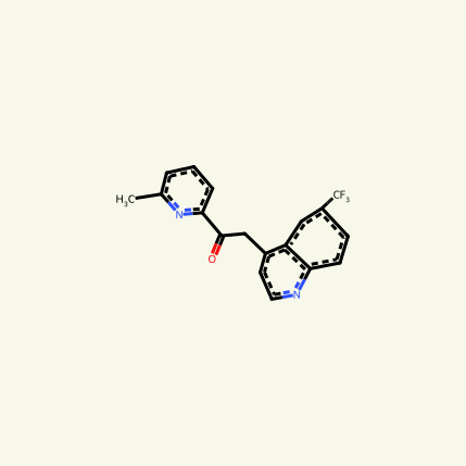 Cc1cccc(C(=O)Cc2ccnc3ccc(C(F)(F)F)cc23)n1